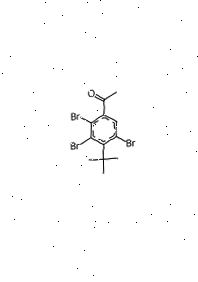 CC(=O)c1cc(Br)c(C(C)(C)C)c(Br)c1Br